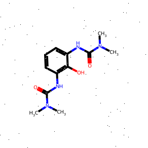 CN(C)C(=O)Nc1cccc(NC(=O)N(C)C)c1O